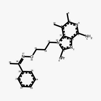 CCCc1nc2c(N)nc(C)c(C)c2n1CCCON=C(C)c1ccccc1